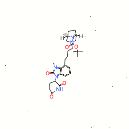 Cn1c(=O)n(C2CCC(=O)NC2=O)c2cccc(CCCCN3C[C@H]4CC[C@@H](C3)N4C(=O)OC(C)(C)C)c21